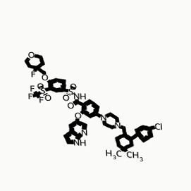 CC1(C)CCC(CN2CCN(c3ccc(C(=O)NS(=O)(=O)c4ccc(OCC5(F)CCOCC5)c(S(=O)(=O)C(F)(F)F)c4)c(Oc4cnc5[nH]ccc5c4)c3)CC2)=C(c2ccc(Cl)cc2)C1